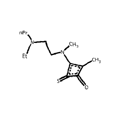 CCCN(CC)CCN(C)c1c(C)c(=O)c1=S